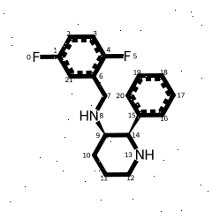 Fc1ccc(F)c(CN[C@@H]2CCCN[C@@H]2c2ccccc2)c1